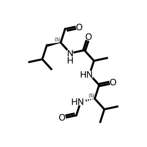 CC(C)C[C@@H](C=O)NC(=O)C(C)NC(=O)[C@@H](NC=O)C(C)C